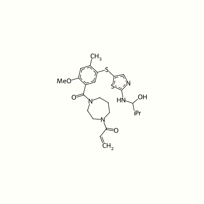 C=CC(=O)N1CCCN(C(=O)c2cc(Sc3cnc(NC(O)C(C)C)s3)c(C)cc2OC)CC1